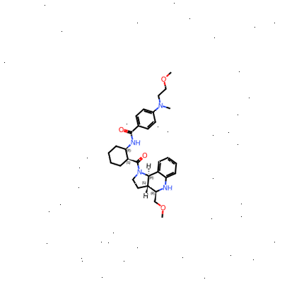 COCCN(C)c1ccc(C(=O)N[C@@H]2CCCC[C@@H]2C(=O)N2CC[C@H]3[C@H](COC)Nc4ccccc4[C@@H]32)cc1